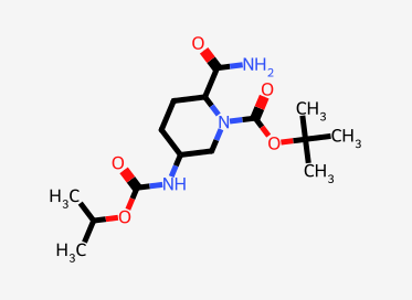 CC(C)OC(=O)NC1CCC(C(N)=O)N(C(=O)OC(C)(C)C)C1